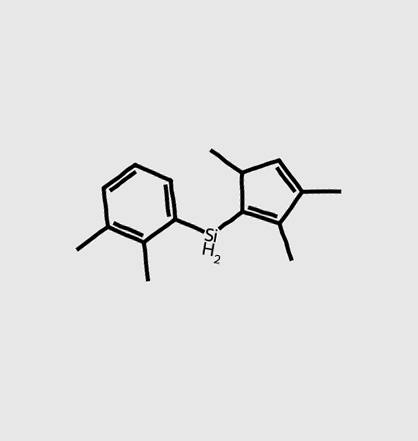 CC1=CC(C)C([SiH2]c2cccc(C)c2C)=C1C